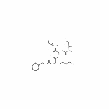 CCN(C(=O)C[C@H](NC(=O)[C@H](CCCCN)NC(=O)OCc1ccccc1)C(=O)N(CC)[C@@](CC)(CC(=O)O)C(=O)O)[C@@](CC)(CC(=O)O)C(=O)O